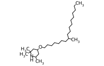 CCCCCCCCCCC(C)CCCCCCCOC1CC(C)NC(C)(C)C1